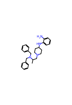 CC(CN1CCC(Nc2ccccc2N)CC1)N(Cc1ccccc1)Cc1ccccc1